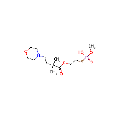 COP(=O)(O)SCCOC(=O)C(C)(C)CCN1CCOCC1